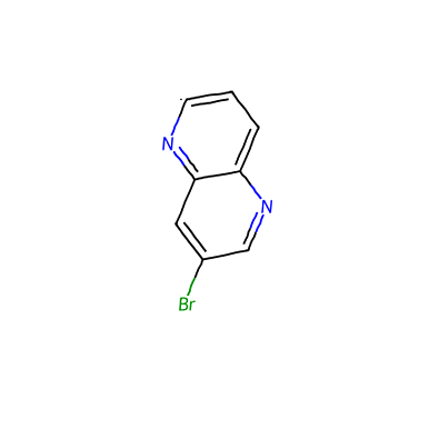 Brc1cnc2cc[c]nc2c1